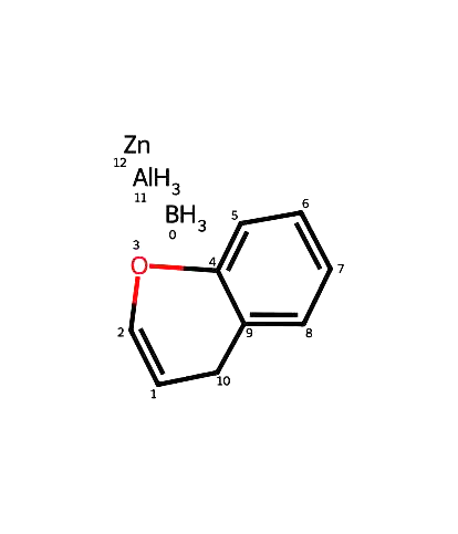 B.C1=COc2ccccc2C1.[AlH3].[Zn]